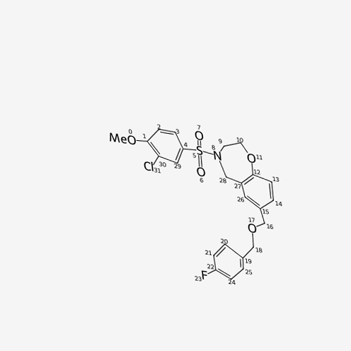 COc1ccc(S(=O)(=O)N2CCOc3ccc(COCc4ccc(F)cc4)cc3C2)cc1Cl